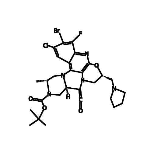 C[C@@H]1CN2c3c4c(nc5c(F)c(Br)c(Cl)cc35)O[C@H](CN3CCCC3)CN4C(=C=O)[C@H]2CN1C(=O)OC(C)(C)C